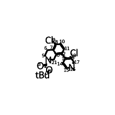 CC(C)(C)OC(=O)N1CCc2c(Cl)ccc(-c3ccncc3Cl)c2C1